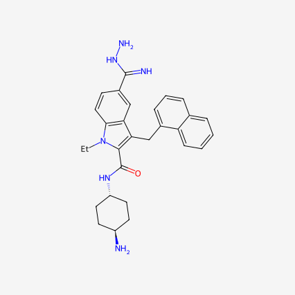 CCn1c(C(=O)N[C@H]2CC[C@H](N)CC2)c(Cc2cccc3ccccc23)c2cc(C(=N)NN)ccc21